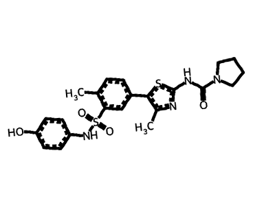 Cc1ccc(-c2sc(NC(=O)N3CCCC3)nc2C)cc1S(=O)(=O)Nc1ccc(O)cc1